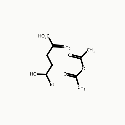 C=C(CCC(O)CC)C(=O)O.CC(=O)OC(C)=O